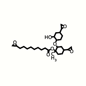 CC1(OC(=O)CCCCCCCCC2CO2)CCC(C2CO2)CC1OC1CCC(C2CO2)CC1O